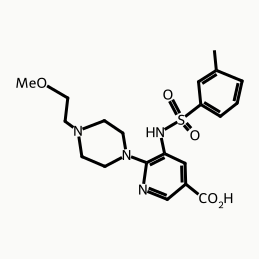 COCCN1CCN(c2ncc(C(=O)O)cc2NS(=O)(=O)c2cccc(C)c2)CC1